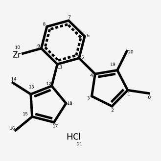 CC1=CCC(c2ccc[c]([Zr])c2C2=C(C)C(C)=CC2)=C1C.Cl